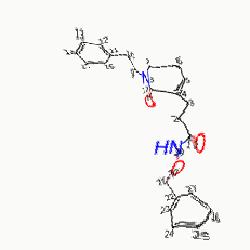 O=C(CCC1=CCCN(CCc2ccccc2)C1=O)NOCc1ccccc1